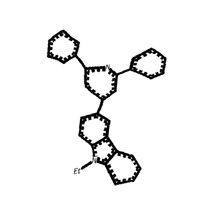 CCn1c2ccccc2c2cc(-c3cc(-c4ccccc4)nc(-c4ccccc4)c3)ccc21